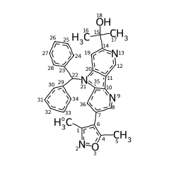 Cc1noc(C)c1-c1cnc2c3cnc(C(C)(C)O)cc3n(C(c3ccccc3)c3ccccc3)c2c1